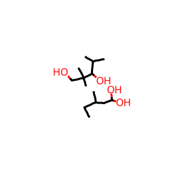 CC(C)C(O)C(C)(C)CO.CCC(C)CC(O)O